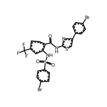 O=C(Nc1nc(-c2ccc(Br)cc2)cs1)c1ccc(C(F)(F)F)cc1NS(=O)(=O)c1ccc(Br)cc1